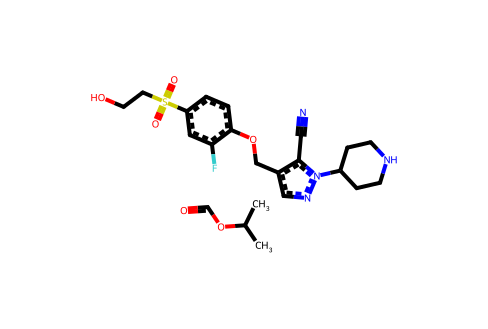 CC(C)OC=O.N#Cc1c(COc2ccc(S(=O)(=O)CCO)cc2F)cnn1C1CCNCC1